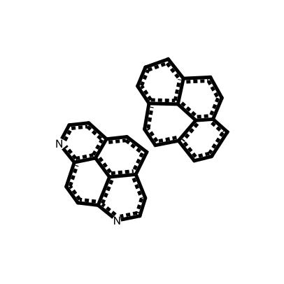 c1cc2ccc3cccc4ccc(c1)c2c34.c1cc2ccc3ccnc4ccc(n1)c2c34